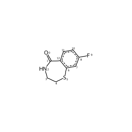 O=C1NCCSc2cc(F)ccc21